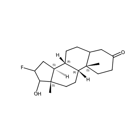 C[C@]12CCC(=O)CC1CC[C@@H]1[C@H]2CC[C@]2(C)C(O)C(F)C[C@@H]12